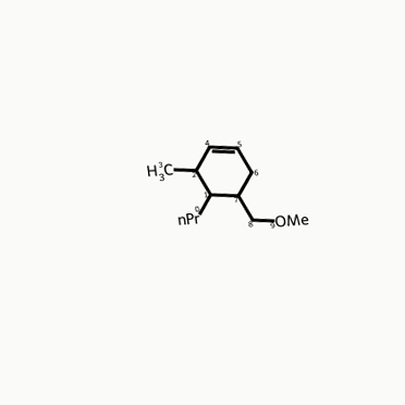 CCCC1C(C)C=CCC1COC